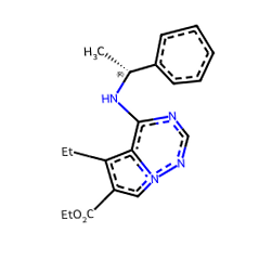 CCOC(=O)c1cn2ncnc(N[C@H](C)c3ccccc3)c2c1CC